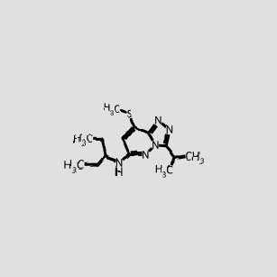 CCC(CC)Nc1cc(SC)c2nnc(C(C)C)n2n1